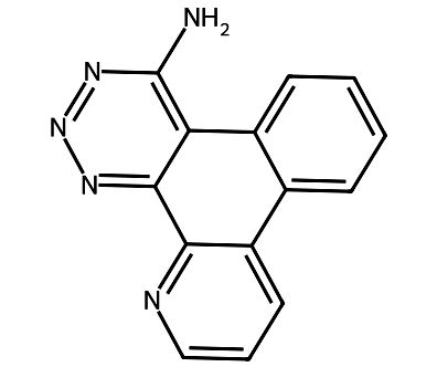 Nc1nnnc2c3ncccc3c3ccccc3c12